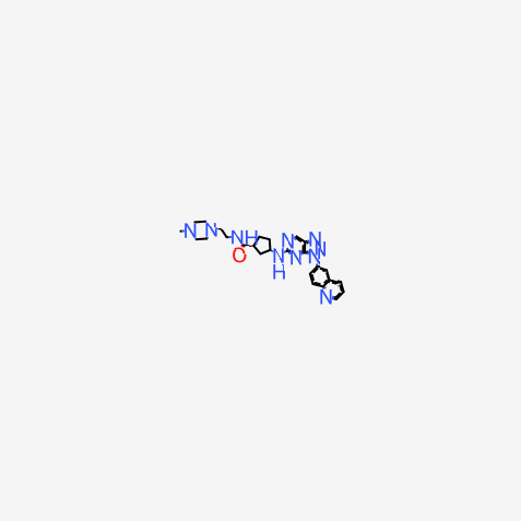 CN1CCN(CCNC(=O)[C@H]2CC[C@@H](Nc3ncc4nnn(-c5ccc6ncccc6c5)c4n3)C2)CC1